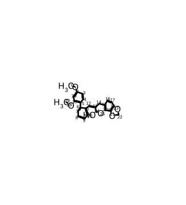 COc1ccc(-c2ccccc2C=C(Cc2ccc3c(c2)OCO3)C(=O)O)c(OC)c1